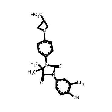 CC1(C)C(=O)N(c2ccc(C#N)c(C(F)(F)F)c2)C(=S)N1c1ccc(N2CC(C(=O)O)C2)cc1